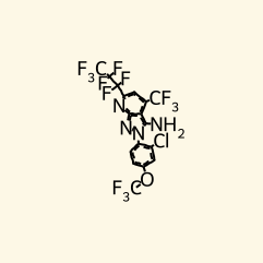 Nc1c2c(C(F)(F)F)cc(C(F)(F)C(F)(F)C(F)(F)F)nc2nn1-c1ccc(OC(F)(F)F)cc1Cl